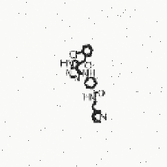 O=C(c1ccccc1Cl)c1c[nH]c2ncnc(N[C@H]3CC[C@@H](C(=O)NCCc4cccnc4)CC3)c12